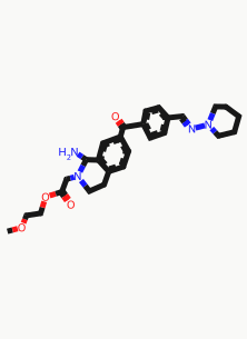 COCCOC(=O)CN1CCc2ccc(C(=O)c3ccc(C=NN4CCCCC4)cc3)cc2C1N